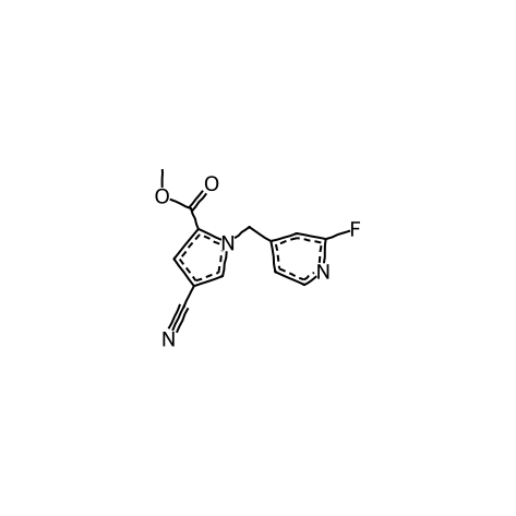 COC(=O)c1cc(C#N)cn1Cc1ccnc(F)c1